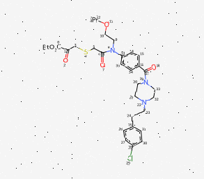 CCOC(=O)C(=O)CSCC(=O)N(CCOC(C)C)c1ccc(C(=O)N2CCN(CCc3ccc(Cl)cc3)CC2)cc1